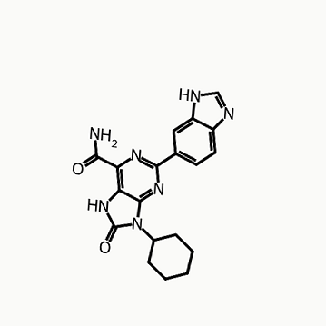 NC(=O)c1nc(-c2ccc3nc[nH]c3c2)nc2c1[nH]c(=O)n2C1CCCCC1